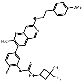 COc1ccc(CCNc2cc3nc(C)c(-c4ccc(F)c(NC(=O)NC5CC(C)(C)C5)c4)cc3cn2)cc1